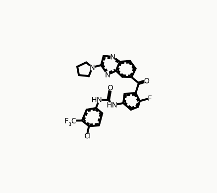 O=C(Nc1ccc(F)c(C(=O)c2ccc3ncc(N4CCCC4)nc3c2)c1)Nc1ccc(Cl)c(C(F)(F)F)c1